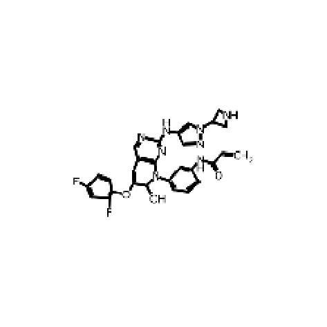 C=CC(=O)Nc1cccc(N2c3nc(Nc4cnn(C5CNC5)c4)ncc3C=C(Oc3ccc(F)cc3F)C2O)c1